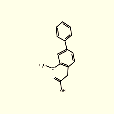 COc1cc(-c2ccccc2)ccc1CC(=O)O